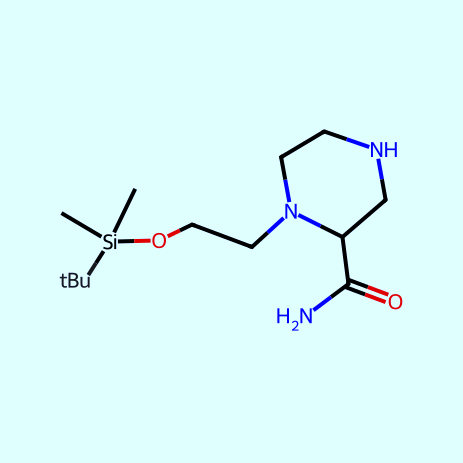 CC(C)(C)[Si](C)(C)OCCN1CCNCC1C(N)=O